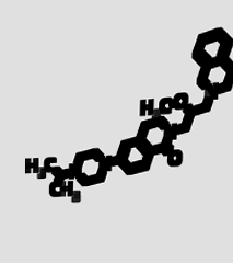 COC(CN1CCc2ccccc2C1)CN1CCc2cc(N3CCN(C(C)C)CC3)ccc2C1=O